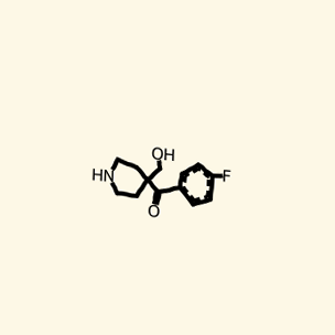 O=C(c1ccc(F)cc1)C1(CO)CCNCC1